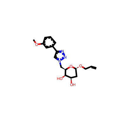 C=CCO[C@@H]1C[C@@H](O)[C@@H](O)[C@@H](Cn2cc(-c3cccc(OC)c3)nn2)O1